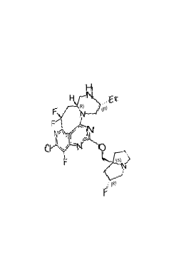 CC[C@@H]1CN2c3nc(OC[C@@]45CCCN4C[C@H](F)C5)nc4c(F)c(Cl)nc(c34)C(F)(F)C[C@@H]2CN1